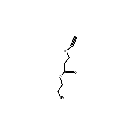 C#CNCCC(=O)OCCC(C)C